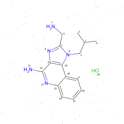 CC(C)Cn1c(CN)nc2c(N)nc3ccccc3c21.Cl